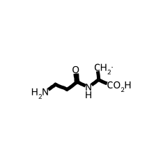 [CH2]C(NC(=O)CCN)C(=O)O